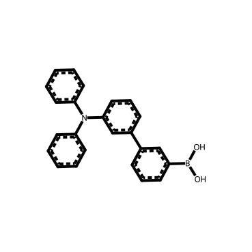 OB(O)c1cccc(-c2cccc(N(c3ccccc3)c3ccccc3)c2)c1